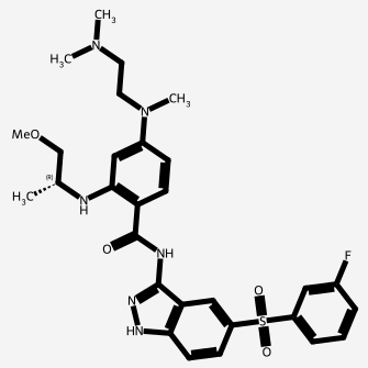 COC[C@@H](C)Nc1cc(N(C)CCN(C)C)ccc1C(=O)Nc1n[nH]c2ccc(S(=O)(=O)c3cccc(F)c3)cc12